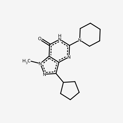 Cn1nc(C2CCCC2)c2nc(N3CCCCC3)[nH]c(=O)c21